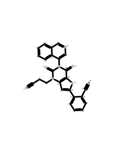 N#CCCn1c(=O)n(-c2cncc3ccccc23)c(=O)c2sc(-c3ccccc3C#N)cc21